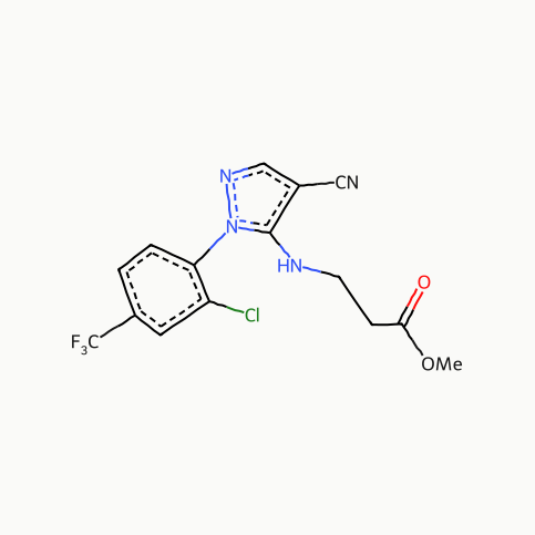 COC(=O)CCNc1c(C#N)cnn1-c1ccc(C(F)(F)F)cc1Cl